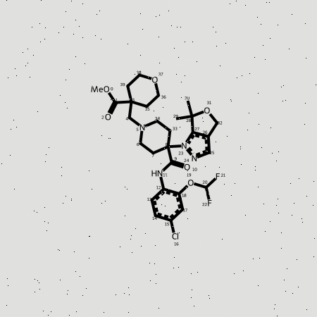 COC(=O)C1(CN2CCC(C(=O)Nc3ccc(Cl)cc3OC(F)F)(n3ncc4c3C(C)(C)OC4)CC2)CCOCC1